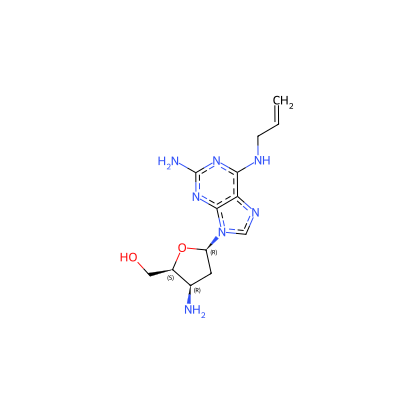 C=CCNc1nc(N)nc2c1ncn2[C@H]1C[C@@H](N)[C@@H](CO)O1